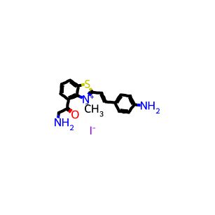 C[n+]1c(C=Cc2ccc(N)cc2)sc2cccc(C(=O)CN)c21.[I-]